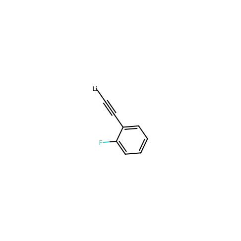 [Li][C]#Cc1ccccc1F